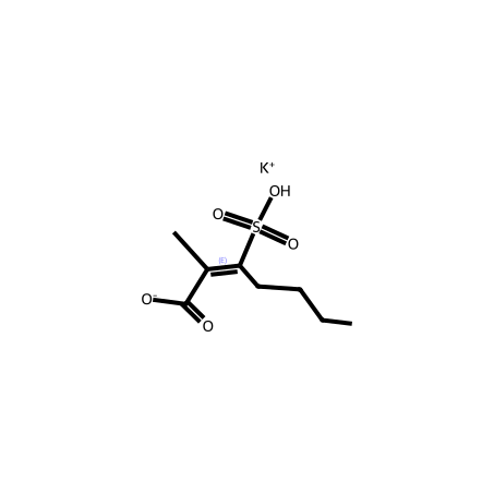 CCCC/C(=C(/C)C(=O)[O-])S(=O)(=O)O.[K+]